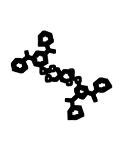 CC(c1ccccc1)c1cc(OP2OCC3(CO2)COP(Oc2cc(C(C)c4ccccc4)cc(C(C)c4ccccc4)c2)OC3)cc(C(C)c2ccccc2)c1